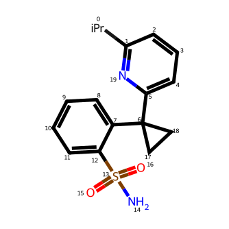 CC(C)c1cccc(C2(c3ccccc3S(N)(=O)=O)CC2)n1